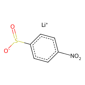 O=[N+]([O-])c1ccc(S(=O)[O-])cc1.[Li+]